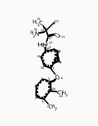 Cc1cccc(Oc2ccc(NC(=O)C(C)(N)I)cc2)c1C